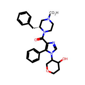 O=C(O)N1CCN(C(=O)c2ncn(C3COCCC3O)c2-c2ccccc2)[C@H](Cc2ccccc2)C1